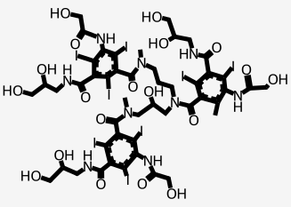 Cc1c(NC(=O)CO)c(I)c(C(=O)NCC(O)CO)c(I)c1C(=O)N(CCCN(C)C(=O)c1c(I)c(NC(=O)CO)c(I)c(C(=O)NCC(O)CO)c1I)CC(O)CN(C)C(=O)c1c(I)c(NC(=O)CO)c(I)c(C(=O)NCC(O)CO)c1I